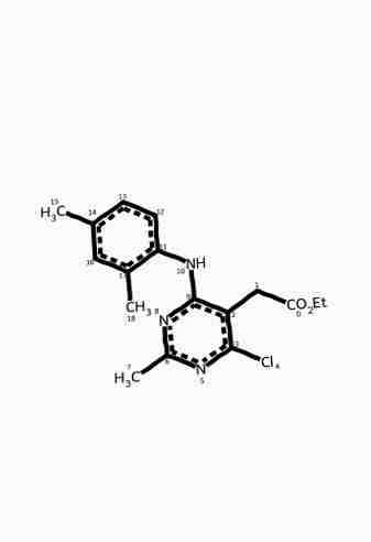 CCOC(=O)Cc1c(Cl)nc(C)nc1Nc1ccc(C)cc1C